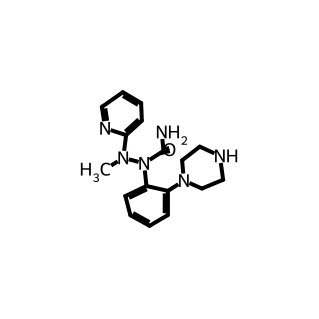 CN(c1ccccn1)N(C(N)=O)c1ccccc1N1CCNCC1